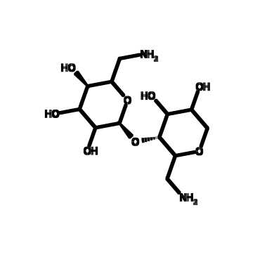 NCC1O[C@@H](O[C@H]2C(CN)OCC(O)C2O)C(O)C(O)[C@H]1O